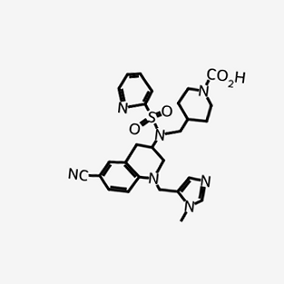 Cn1cncc1CN1CC(N(CC2CCN(C(=O)O)CC2)S(=O)(=O)c2ccccn2)Cc2cc(C#N)ccc21